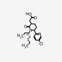 CCSC[C@H](CC)N1C(=O)C(CC(=O)O)CCC1c1ccc(Cl)cn1